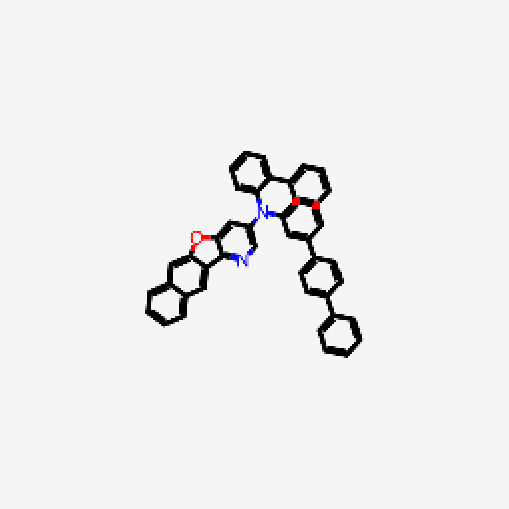 c1ccc(-c2ccc(-c3cccc(N(c4cnc5c(c4)oc4cc6ccccc6cc45)c4ccccc4-c4ccccc4)c3)cc2)cc1